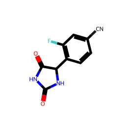 N#Cc1ccc(C2NC(=O)NC2=O)c(F)c1